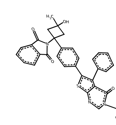 CC1(O)CC(c2ccc(-c3sc4ncn(CC(F)(F)F)c(=O)c4c3-c3ccccc3)cc2)(N2C(=O)c3ccccc3C2=O)C1